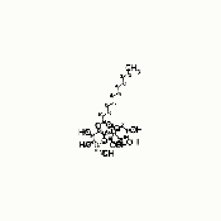 CCCCCCCCCCCC(=O)O[C@H]1[C@@H](O[C@@]2(CO)OC[C@@H](O)[C@@H](O)[C@@H]2O)O[C@H](CO)[C@@H](O)[C@@H]1O